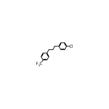 FC(F)(F)c1ccc(CC[CH]c2ccc(Cl)cc2)cc1